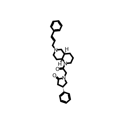 O=C1C[C@@H](c2ccccc2)CN1CC(=O)N1CCC[C@@H]2CN(C/C=C/c3ccccc3)CC[C@H]21